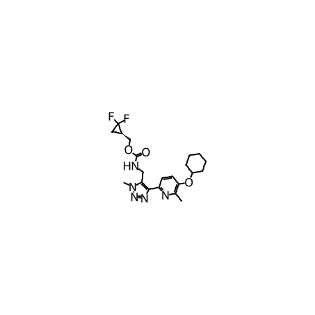 Cc1nc(-c2nnn(C)c2CNC(=O)OC[C@H]2CC2(F)F)ccc1OC1CCCCC1